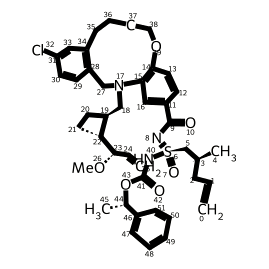 C=CC[C@H](C)C[S@](=O)(=NC(=O)c1ccc2c(c1)N(C[C@@H]1CC[C@H]1[C@H](C=C)OC)Cc1ccc(Cl)cc1CCCCO2)NC(=O)O[C@@H](C)c1ccccc1